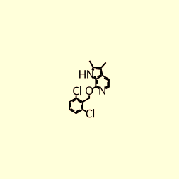 Cc1[nH]c2c(OCc3c(Cl)cccc3Cl)nccc2c1C